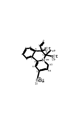 C=CC1(CC)c2ccccc2C2=CC(CCCC)=CCN2C1(C)CC